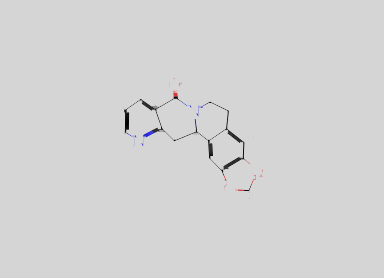 O=C1c2cccnc2CC2c3cc4c(cc3CCN12)OCO4